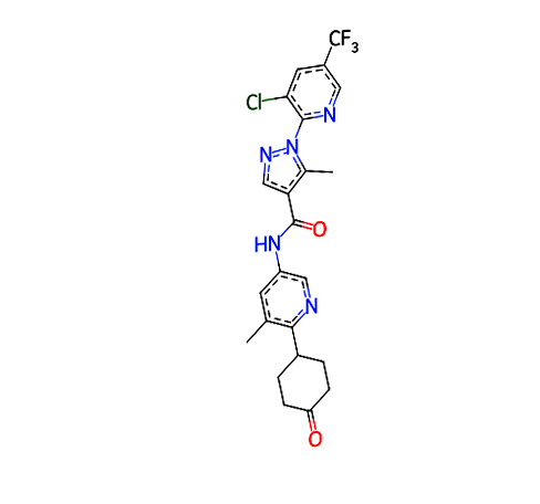 Cc1cc(NC(=O)c2cnn(-c3ncc(C(F)(F)F)cc3Cl)c2C)cnc1C1CCC(=O)CC1